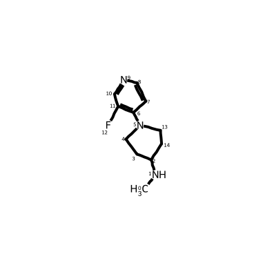 CNC1CCN(c2ccncc2F)CC1